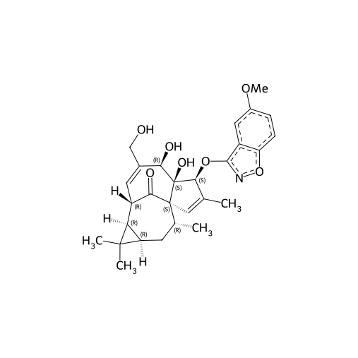 COc1ccc2onc(O[C@H]3C(C)=C[C@]45C(=O)[C@@H](C=C(CO)[C@@H](O)[C@]34O)[C@H]3[C@@H](C[C@H]5C)C3(C)C)c2c1